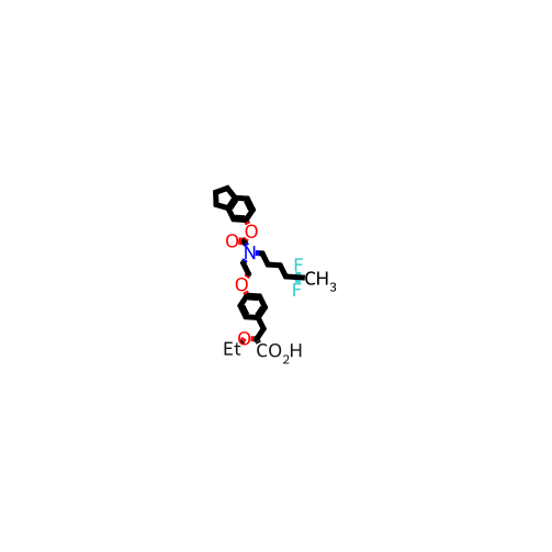 CCOC(Cc1ccc(OCCN(CCCCC(C)(F)F)C(=O)Oc2ccc3c(c2)CCC3)cc1)C(=O)O